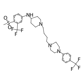 CS(=O)(=O)c1ccc(NC2CCN(CCCCN3CCN(c4ccc(C(F)(F)F)cc4)CC3)CC2)cc1C(F)(F)F